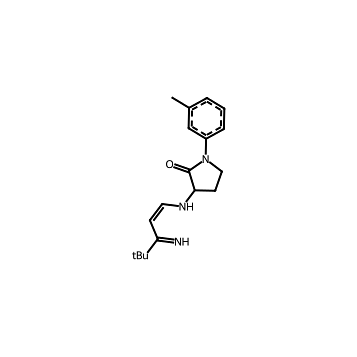 Cc1cccc(N2CCC(N/C=C\C(=N)C(C)(C)C)C2=O)c1